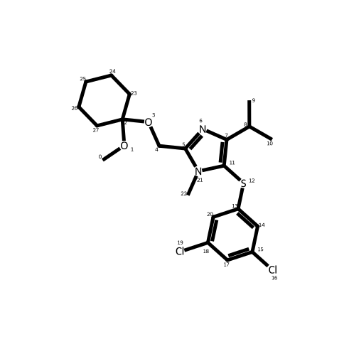 COC1(OCc2nc(C(C)C)c(Sc3cc(Cl)cc(Cl)c3)n2C)CCCCC1